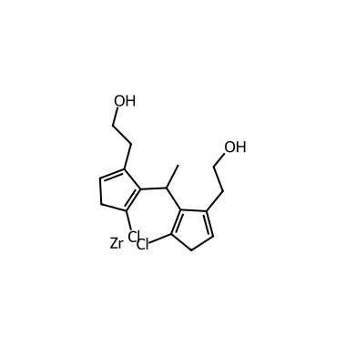 CC(C1=C(Cl)CC=C1CCO)C1=C(Cl)CC=C1CCO.[Zr]